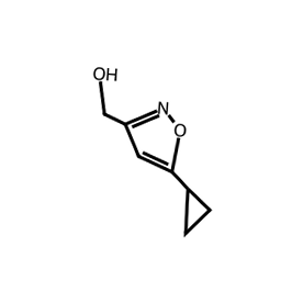 OCc1cc(C2CC2)on1